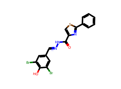 O=C(N/N=C/c1cc(Br)c(O)c(Br)c1)c1csc(-c2ccccc2)n1